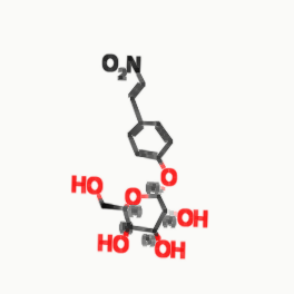 O=[N+]([O-])C=Cc1ccc(O[C@H]2O[C@H](CO)[C@H](O)[C@H](O)[C@H]2O)cc1